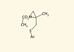 CC(=O)O.CC(=O)SCC1(C)CC1